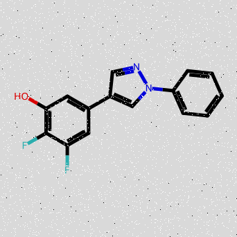 Oc1cc(-c2cnn(-c3ccccc3)c2)cc(F)c1F